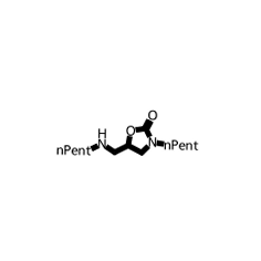 CCCCCNCC1CN(CCCCC)C(=O)O1